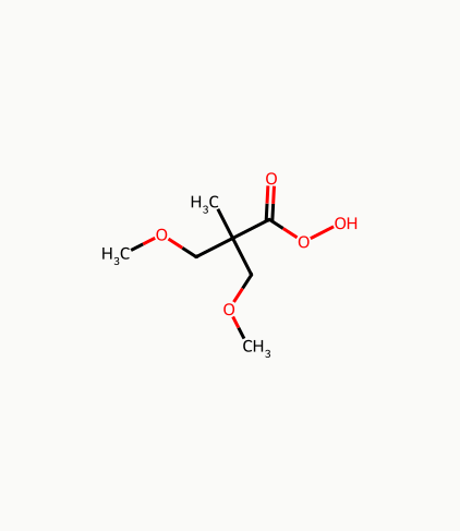 COCC(C)(COC)C(=O)OO